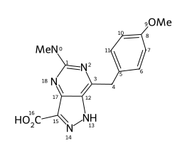 CNc1nc(Cc2ccc(OC)cc2)c2[nH]nc(C(=O)O)c2n1